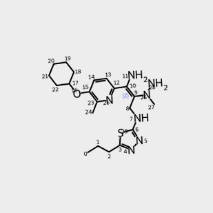 CCCc1nnc(NC/C(=C(/N)c2ccc(OC3CCCCC3)c(C)n2)N(C)N)s1